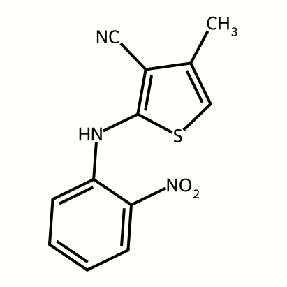 Cc1csc(Nc2ccccc2[N+](=O)[O-])c1C#N